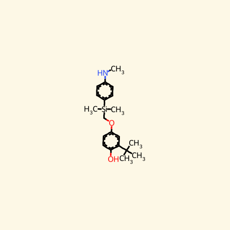 CNc1ccc([Si](C)(C)COc2ccc(O)c(C(C)(C)C)c2)cc1